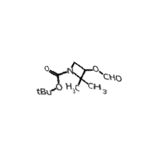 CC(C)(C)OC(=O)N1CC(OC=O)C1(C)C